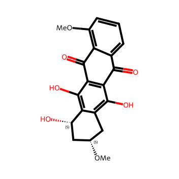 COc1cccc2c1C(=O)c1c(O)c3c(c(O)c1C2=O)C[C@H](OC)C[C@@H]3O